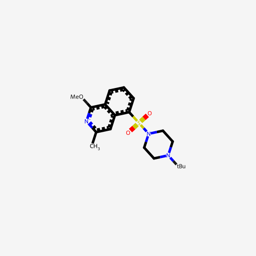 COc1nc(C)cc2c(S(=O)(=O)N3CCN(C(C)(C)C)CC3)cccc12